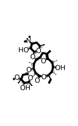 CC[C@H]1OC(=O)[C@H](C)[C@@H](O[C@H]2C[C@@](C)(OC)[C@@H](O)[C@H](C)O2)[C@H](C)[C@@H](O[C@@H]2O[C@H](C)C[C@H](N(C)C)[C@H]2O)[C@]2(C)CC(C)=C(O2)[C@H](C)[C@@H](O)[C@@H]1C